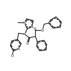 Cn1ccnc1N(Cc1ccc(Cl)nc1)C(=O)C(C(=O)OCc1ccccc1)c1ccccc1